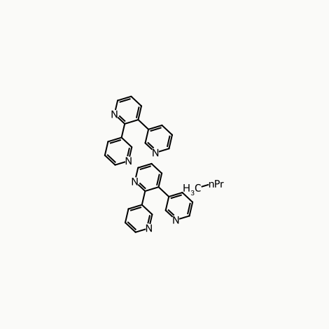 CCCC.c1cncc(-c2cccnc2-c2cccnc2)c1.c1cncc(-c2cccnc2-c2cccnc2)c1